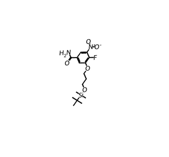 CC(C)(C)[Si](C)(C)OCCCOc1cc(C(N)=O)cc([N+](=O)[O-])c1F